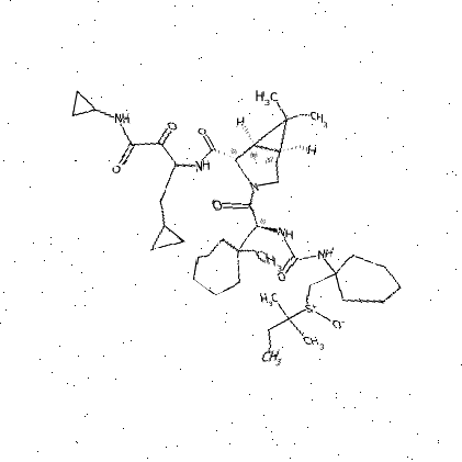 CCC(C)(C)[S+]([O-])CC1(NC(=O)N[C@H](C(=O)N2C[C@H]3[C@@H]([C@H]2C(=O)NC(CC2CC2)C(=O)C(=O)NC2CC2)C3(C)C)C2(C)CCCCC2)CCCCC1